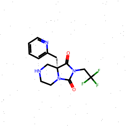 O=C1N(CC(F)(F)F)C(=O)[C@]2(Cc3ccccn3)CNCCN12